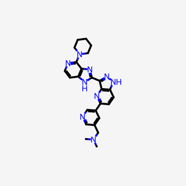 CN(C)Cc1cncc(-c2ccc3[nH]nc(-c4nc5c(N6CCCCC6)nccc5[nH]4)c3n2)c1